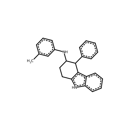 Cc1cccc(NC2CCc3[nH]c4ccccc4c3C2c2ccccc2)c1